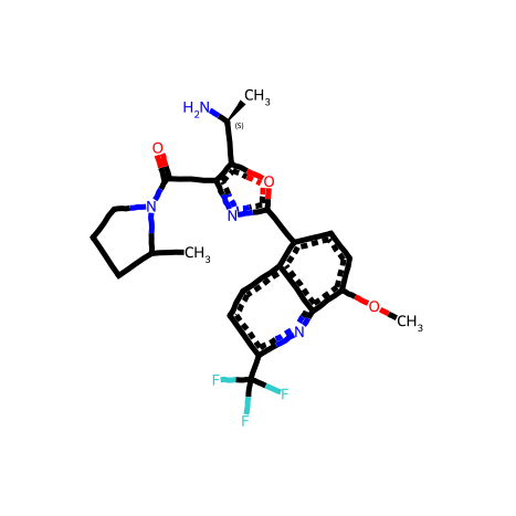 COc1ccc(-c2nc(C(=O)N3CCCC3C)c([C@H](C)N)o2)c2ccc(C(F)(F)F)nc12